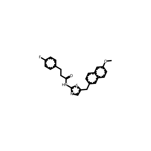 COc1ccc2cc(Cc3cnc(NC(=O)CCc4ccc(F)cc4)s3)ccc2c1